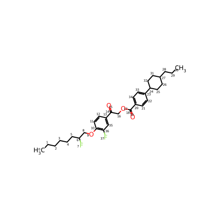 CCCCCCC(F)COc1ccc(C(=O)COC(=O)c2ccc(C3CCC(CCC)CC3)cc2)cc1F